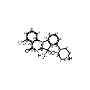 CC1(C)c2c(C3CCNCC3)cccc2-n2c1nc(=O)c1c(Cl)cccc12